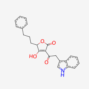 O=C(Cc1c[nH]c2ccccc12)C1=C(O)C(CCCc2ccccc2)OC1=O